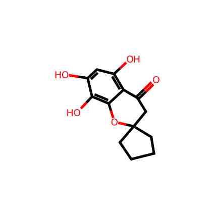 O=C1CC2(CCCC2)Oc2c(O)c(O)cc(O)c21